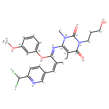 CC(=C/c1ccc(C(F)F)nc1)/C(=N\c1c(C)c(=O)n(CCCO)c(=O)n1C)Oc1cccc(OC(F)(F)F)c1